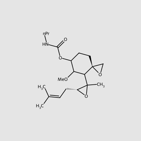 CCCNC(=O)OC1CC[C@]2(CO2)C(C2(C)O[C@@H]2CC=C(C)C)C1OC